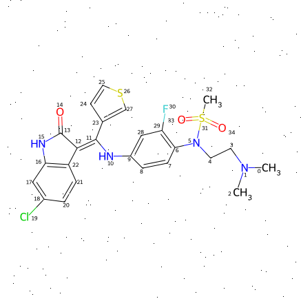 CN(C)CCN(c1ccc(NC(=C2C(=O)Nc3cc(Cl)ccc32)c2ccsc2)cc1F)S(C)(=O)=O